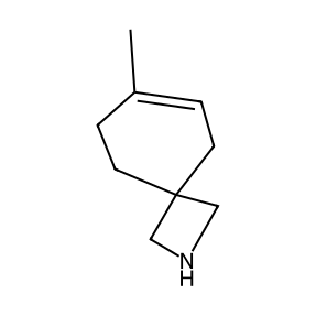 CC1=CCC2(CC1)CNC2